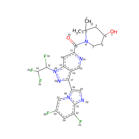 CC1(C)CC(O)CCN1C(=O)c1cc2c(cn1)c(-c1cnc3c(F)cc(F)cn13)nn2C(F)C(F)F